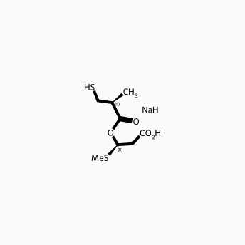 CS[C@H](CC(=O)O)OC(=O)[C@H](C)CS.[NaH]